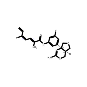 C=C/C(F)=C\C=C(/N)C(=O)Nc1cc(F)cc([C@]23COC[C@H]2CSC(N)=N3)c1